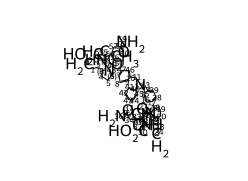 C=CC[C@H]1CC[C@@H](c2ccc(CN(Cc3ccc([C@@H]4CC[C@H](CC=C)N4C(=O)[C@@H](NC(=O)O)C(C)(C)CC(N)=O)cc3)c3ccccc3)cc2)N1C(=O)[C@@H](NC(=O)O)C(C)(C)CC(N)=O